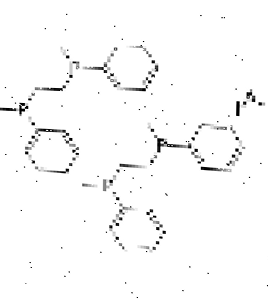 CP(CCP(C)c1ccccc1)c1ccccc1.CP(CCP(C)c1ccccc1)c1ccccc1.[Au+].[I-]